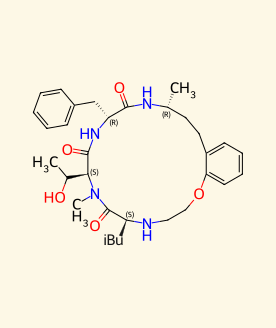 CCC(C)[C@@H]1NCCOc2ccccc2CC[C@@H](C)NC(=O)[C@@H](Cc2ccccc2)NC(=O)[C@H](C(C)O)N(C)C1=O